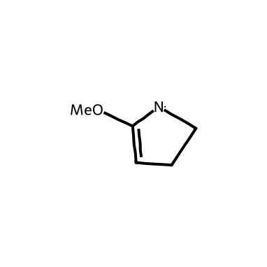 COC1=CCC[N]1